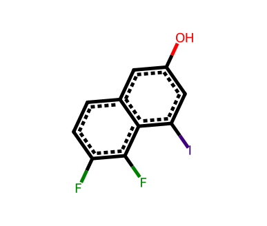 Oc1cc(I)c2c(F)c(F)ccc2c1